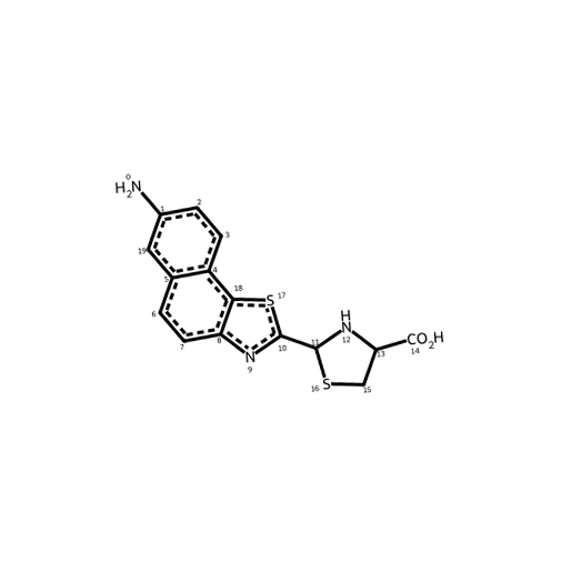 Nc1ccc2c(ccc3nc(C4NC(C(=O)O)CS4)sc32)c1